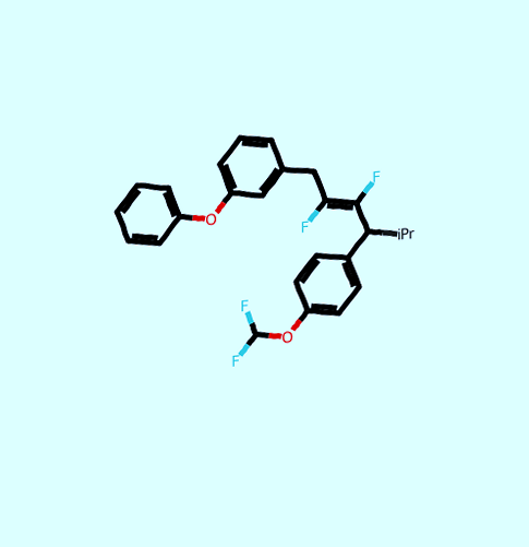 CC(C)C(/C(F)=C(\F)Cc1cccc(Oc2ccccc2)c1)c1ccc(OC(F)F)cc1